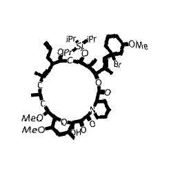 C=CCC1/C=C(\C)CC(C)CC(OC)C2OC(O)(C(=O)C(=O)N3CCCCC3C(=O)OC(C(C)=CC3(Br)CCCC(OC)C3)C(C)C(O[Si](C(C)C)(C(C)C)C(C)C)CC1=O)C(C)CC2OC